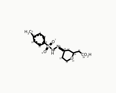 Cc1ccc(S(=O)(=O)NN=C2CCOC(CC(=O)O)C2)cc1